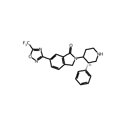 O=C1c2cc(-c3noc(C(F)(F)F)n3)ccc2CN1C1CCNC[C@@H]1c1ccccc1